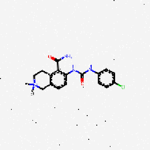 CC[N+]1(C)CCc2c(ccc(NC(=O)Nc3ccc(Cl)cc3)c2C(N)=O)C1